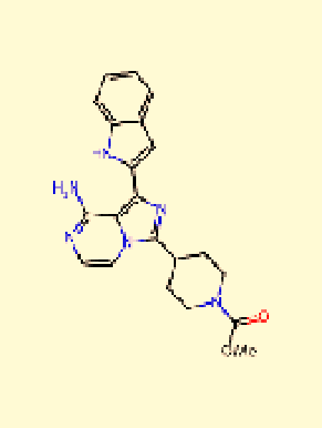 COC(=O)N1CCC(c2nc(-c3cc4ccccc4[nH]3)c3c(N)nccn23)CC1